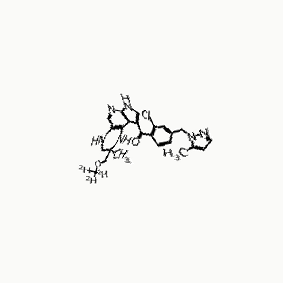 [2H]C([2H])([2H])OC[C@]1(C)CNc2cnc3[nH]cc(C(=O)c4ccc(Cn5nccc5C)cc4Cl)c3c2N1